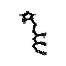 O=C(O)CC(O)CC(O)CCc1ccn[nH]1